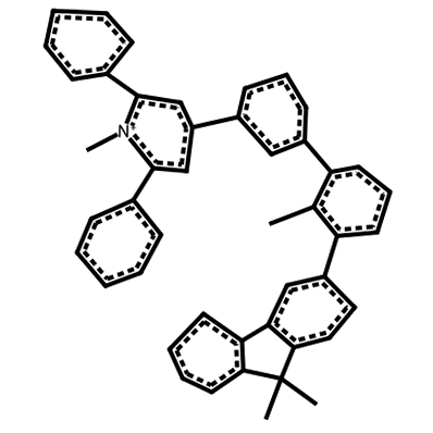 Cc1c(-c2cccc(-c3cc(-c4ccccc4)[n+](C)c(-c4ccccc4)c3)c2)cccc1-c1ccc2c(c1)-c1ccccc1C2(C)C